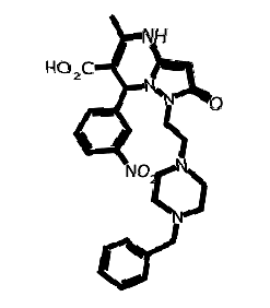 CC1=C(C(=O)O)C(c2cccc([N+](=O)[O-])c2)n2c(cc(=O)n2CCN2CCN(Cc3ccccc3)CC2)N1